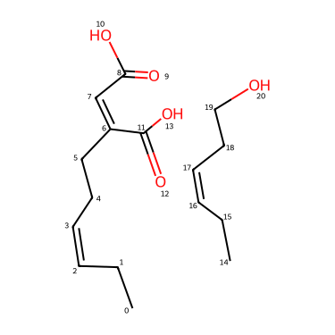 CC/C=C\CC/C(=C/C(=O)O)C(=O)O.CC/C=C\CCO